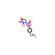 Cc1ccc(C2CN(C3CCC(=O)NC3=O)C(=O)O2)cc1